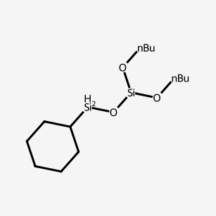 CCCCO[Si](OCCCC)O[SiH2]C1CCCCC1